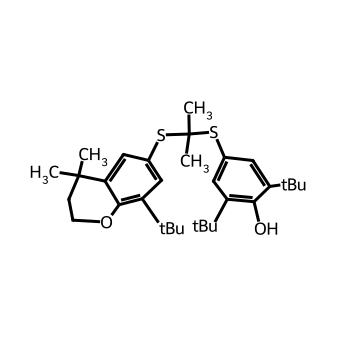 CC(C)(Sc1cc(C(C)(C)C)c(O)c(C(C)(C)C)c1)Sc1cc(C(C)(C)C)c2c(c1)C(C)(C)CCO2